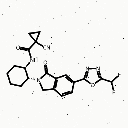 N#CC1(C(=O)N[C@@H]2CCCC[C@H]2N2Cc3ccc(-c4nnc(C(F)F)o4)cc3C2=O)CC1